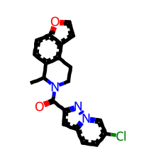 CC1c2ccc3occc3c2CCN1C(=O)c1cc2ccc(Cl)cn2n1